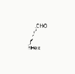 CCCCCCCCC=CCCCCCC=O